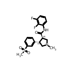 CN1C[C@H](C(=O)Nc2cccc(F)c2F)[C@@H](c2cccc(S(C)(=O)=O)c2)C1